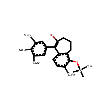 COc1cc(C2=C(Br)CCCc3c2ccc(OC)c3O[Si](C)(C)C(C)(C)C)cc(OC)c1OC